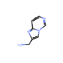 NCc1cn2cnccc2n1